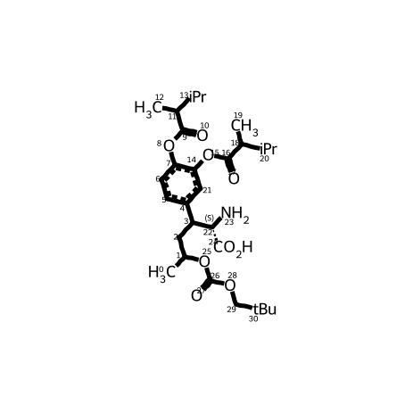 CC(CC(c1ccc(OC(=O)C(C)C(C)C)c(OC(=O)C(C)C(C)C)c1)[C@H](N)C(=O)O)OC(=O)OCC(C)(C)C